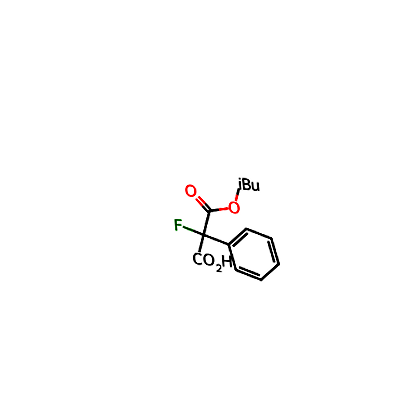 CCC(C)OC(=O)C(F)(C(=O)O)c1ccccc1